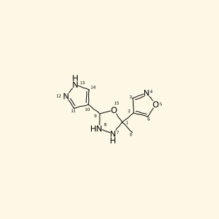 CC1(c2cnoc2)NNC(c2cn[nH]c2)O1